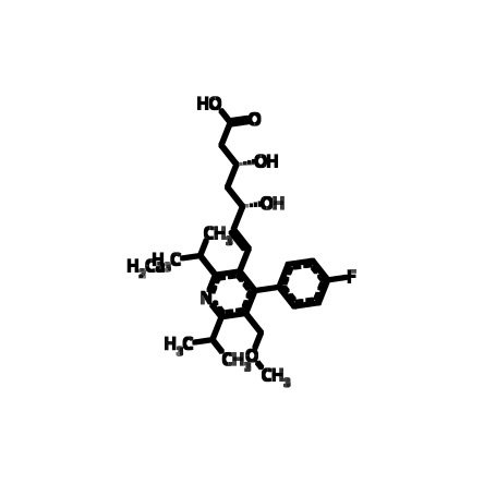 COCc1c(C(C)C)nc(C(C)C)c(/C=C/[C@@H](O)C[C@@H](O)CC(=O)O)c1-c1ccc(F)cc1.[CaH2]